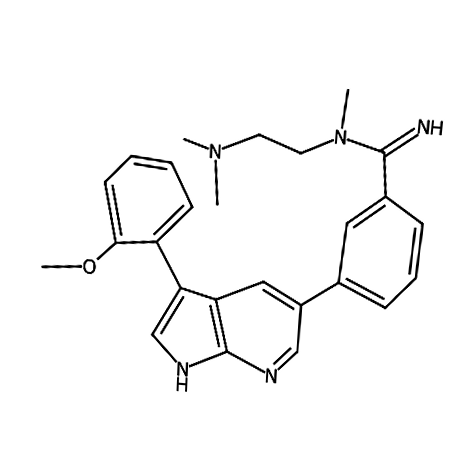 COc1ccccc1-c1c[nH]c2ncc(-c3cccc(C(=N)N(C)CCN(C)C)c3)cc12